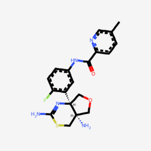 Cc1ccc(C(=O)Nc2ccc(F)c([C@]34COC[C@@]3(N)CSC(N)=N4)c2)nc1